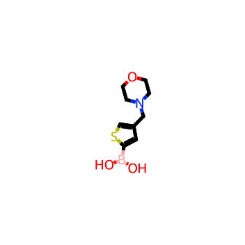 OB(O)c1cc(CN2CCOCC2)cs1